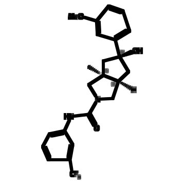 COc1cccc([C@]2(O)C[C@H]3CN(C(=O)Nc4cccc(C(F)(F)F)c4)C[C@@]3(C)C2)c1